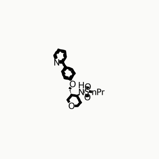 CCCS(=O)(=O)N[C@H]1CCOC[C@@H]1COc1ccc(-c2ccccn2)cc1